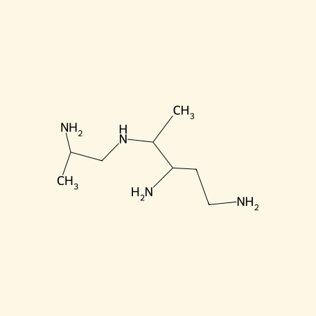 CC(N)CNC(C)C(N)CCN